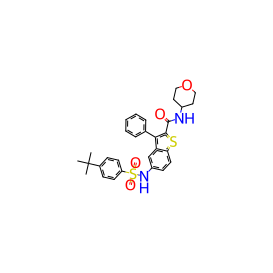 CC(C)(C)c1ccc(S(=O)(=O)Nc2ccc3sc(C(=O)NC4CCOCC4)c(-c4ccccc4)c3c2)cc1